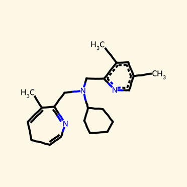 CC1=CCC=CN=C1CN(Cc1ncc(C)cc1C)C1CCCCC1